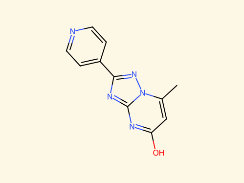 Cc1cc(O)nc2nc(-c3ccncc3)nn12